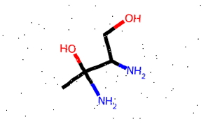 CC(N)(O)C(N)CO